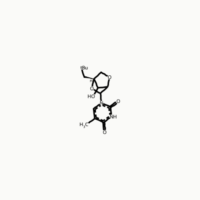 Cc1cn(C2O[C@]3(CC(C)(C)C)COC2C3O)c(=O)[nH]c1=O